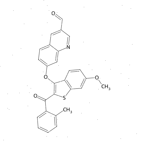 COc1ccc2c(Oc3ccc4cc(C=O)cnc4c3)c(C(=O)c3ccccc3C)sc2c1